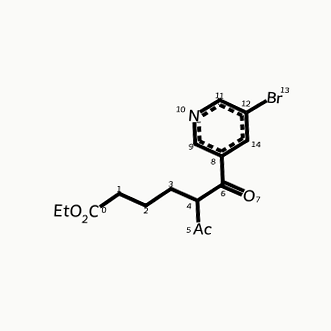 CCOC(=O)CCCC(C(C)=O)C(=O)c1cncc(Br)c1